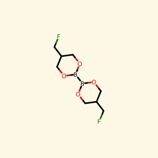 FCC1COB(B2OCC(CF)CO2)OC1